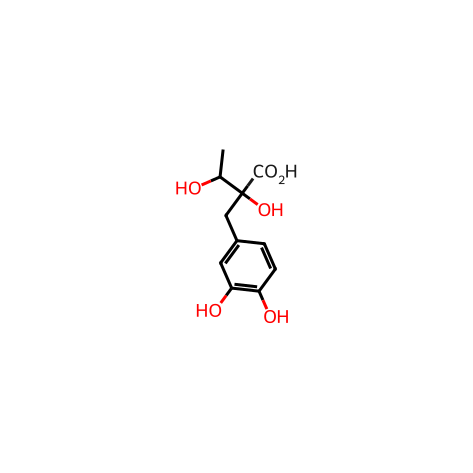 CC(O)C(O)(Cc1ccc(O)c(O)c1)C(=O)O